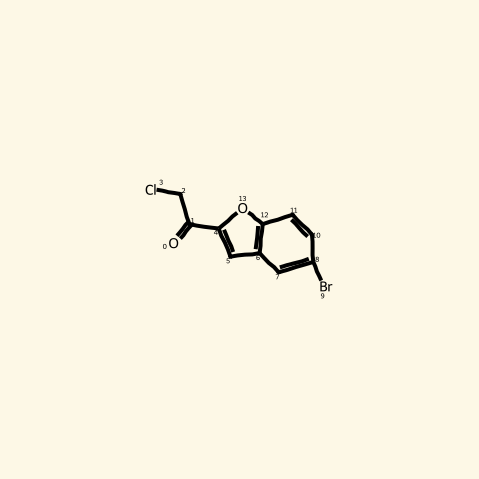 O=C(CCl)c1cc2cc(Br)ccc2o1